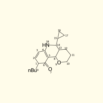 CCCCC1C=CC2=C(C1=O)C1OCCCC1C(C1CC1)N2